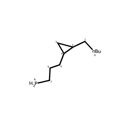 CCCCCC1CC1CCCP